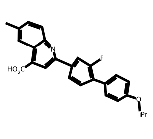 Cc1ccc2nc(-c3ccc(-c4ccc(OC(C)C)cc4)c(F)c3)cc(C(=O)O)c2c1